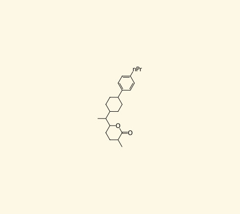 CCCc1ccc(C2CCC(C(C)C3CCC(C)C(=O)O3)CC2)cc1